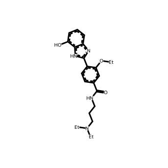 CCOc1cc(C(=O)NCCCN(CC)CC)ccc1-c1nc2cccc(O)c2[nH]1